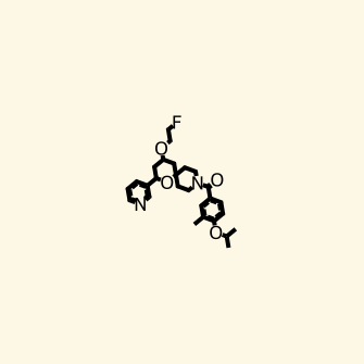 Cc1cc(C(=O)N2CCC3(CC2)CC(OCCF)CC(c2cccnc2)O3)ccc1OC(C)C